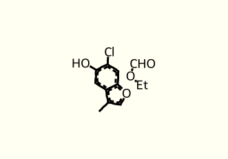 CCOC=O.Cc1coc2cc(Cl)c(O)cc12